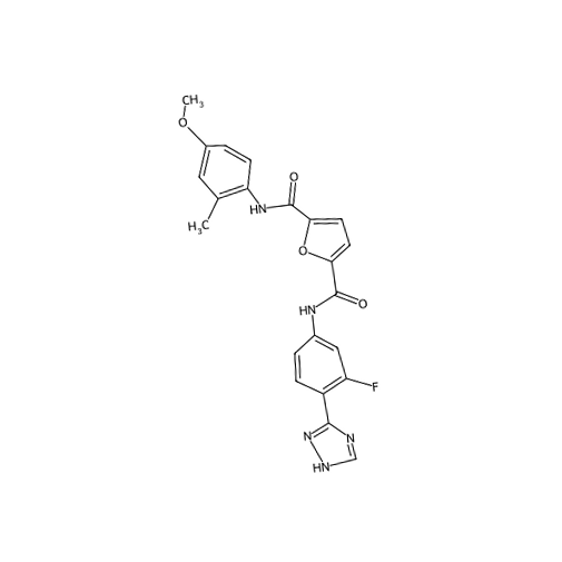 COc1ccc(NC(=O)c2ccc(C(=O)Nc3ccc(-c4nc[nH]n4)c(F)c3)o2)c(C)c1